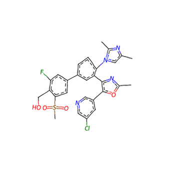 Cc1cn(-c2ccc(-c3cc(F)c(CO)c(S(C)(=O)=O)c3)cc2-c2nc(C)oc2-c2cncc(Cl)c2)c(C)n1